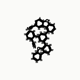 N#Cc1ccc2oc3cccc(-c4cc(-c5ccccc5C#N)cc(-c5cccc6c5oc5ccccc56)c4)c3c2c1